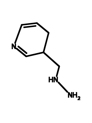 NNCC1C=NC=CC1